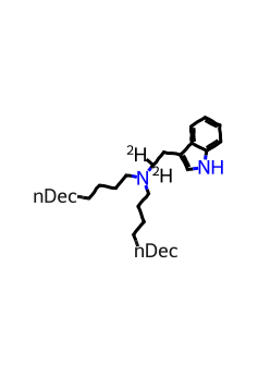 [2H]C([2H])(Cc1c[nH]c2ccccc12)N(CCCCCCCCCCCCCC)CCCCCCCCCCCCCC